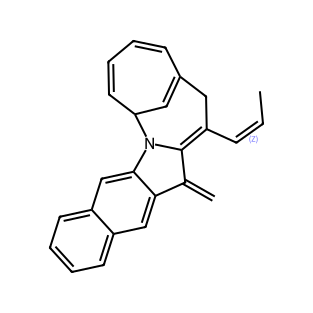 C=c1c2n(c3cc4ccccc4cc13)C1C=CC=CC(=C1)CC=2/C=C\C